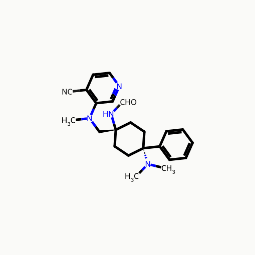 CN(C[C@]1(NC=O)CC[C@@](c2ccccc2)(N(C)C)CC1)c1cnccc1C#N